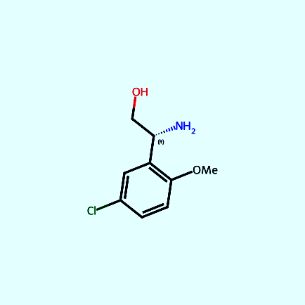 COc1ccc(Cl)cc1[C@@H](N)CO